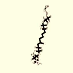 O=S(=O)(O)C(F)(F)C(F)(F)OC(F)(F)C(F)(F)CC(I)CCCCC(F)(F)C(F)(F)OC(F)(F)C(F)(F)SOOO